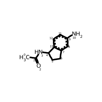 CC(=O)NC1CCc2cc(N)ccc21